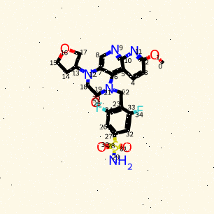 COc1ccc2c3c(cnc2n1)N(C1CCOC1)CC(=O)N3Cc1c(F)cc(S(N)(=O)=O)cc1F